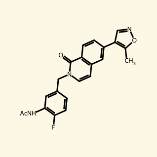 CC(=O)Nc1cc(Cn2ccc3cc(-c4cnoc4C)ccc3c2=O)ccc1F